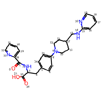 O=C(NC(Cc1ccc(N2CCC(CNc3ccccn3)CC2)cc1)C(=O)O)c1ccccn1